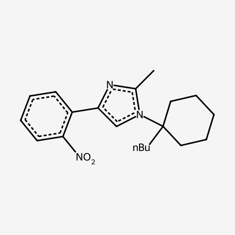 CCCCC1(n2cc(-c3ccccc3[N+](=O)[O-])nc2C)CCCCC1